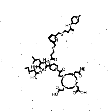 C=C(CCSCc1cccc(CSCCC(=O)NC2(C(=O)NC(CC(C)C)C(=O)NC(C(=O)NC)C(C)CC)CCN(C(=O)CN3CCN(CC(=O)O)CCN(CC(=O)O)CCN(CC(=O)N=O)CC3)CC2)n1)NC1CCN(C)CC1